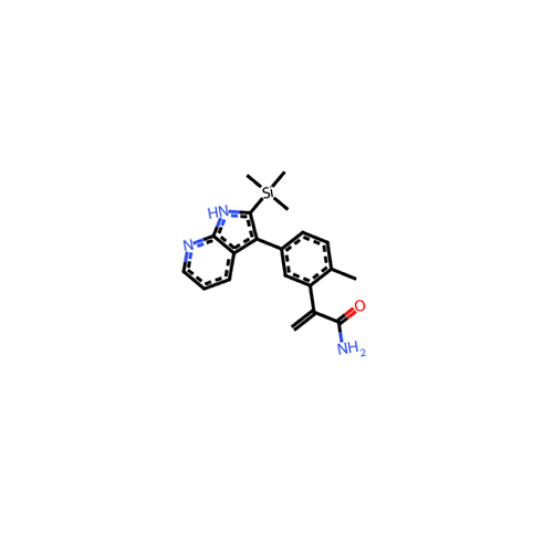 C=C(C(N)=O)c1cc(-c2c([Si](C)(C)C)[nH]c3ncccc23)ccc1C